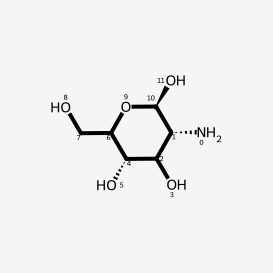 N[C@@H]1C(O)[C@H](O)C(CO)O[C@H]1O